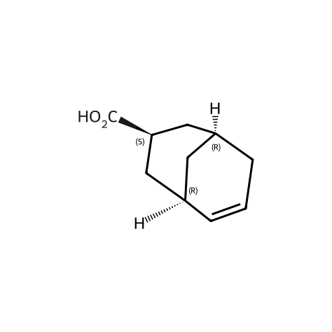 O=C(O)[C@@H]1C[C@@H]2C=CC[C@@H](C2)C1